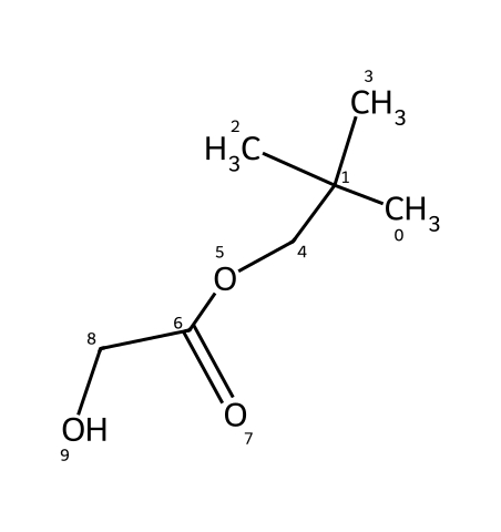 CC(C)(C)COC(=O)CO